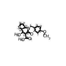 COc1ccc(Cn2c(=O)c(C(=O)O)c(O)c3sccc32)cc1